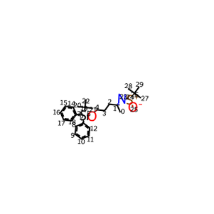 C/C(CCCO[Si](c1ccccc1)(c1ccccc1)C(C)(C)C)=N\[S+]([O-])C(C)(C)C